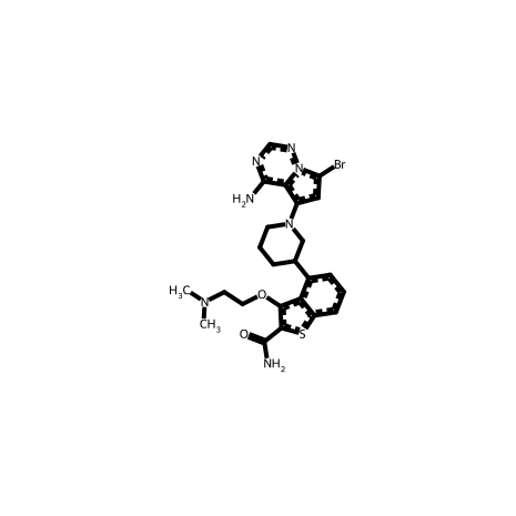 CN(C)CCOc1c(C(N)=O)sc2cccc(C3CCCN(c4cc(Br)n5ncnc(N)c45)C3)c12